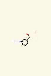 C[C@H](C(=O)O)c1cccc(N)c1